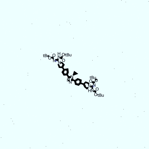 CC(C)(C)OC(=O)/N=C(/NC(=O)OC(C)(C)C)N1CC=C(c2ccc(-c3nnc(-c4ccc(C5=CCN(/C(=N/C(=O)OC(C)(C)C)NC(=O)OC(C)(C)C)CC5)cc4)n3C3CC3)cc2)CC1